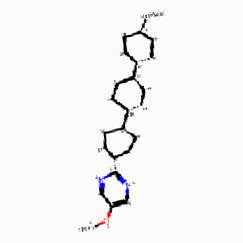 CCCCCCOc1cnc([C@H]2CC[C@H]([C@H]3CC[C@H]([C@H]4CC[C@H](CCCCC)CC4)CC3)CC2)nc1